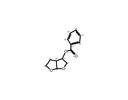 O=C(OC1COC2OCCC12)c1ccccc1